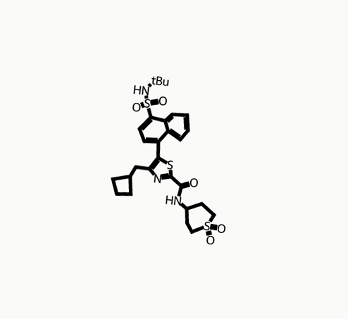 CC(C)(C)NS(=O)(=O)c1ccc(-c2sc(C(=O)NC3CCS(=O)(=O)CC3)nc2CC2CCC2)c2ccccc12